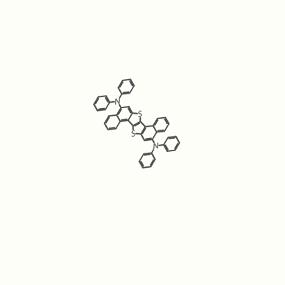 c1ccc(N(c2ccccc2)c2cc3sc4c(sc5cc(N(c6ccccc6)c6ccccc6)c6ccccc6c54)c3c3ccccc23)cc1